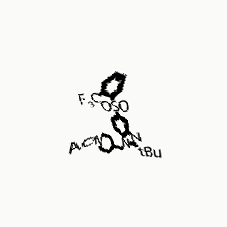 CC(=O)N1CCC(Cn2c(C(C)(C)C)nc3cc(S(=O)(=O)c4ccccc4C(F)(F)F)ccc32)CC1